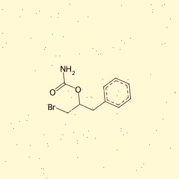 NC(=O)OC(CBr)Cc1ccccc1